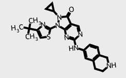 CC(C)(C)c1csc(-n2c3nc(Nc4ccc5c(c4)CCNC5)ncc3c(=O)n2C2CC2)n1